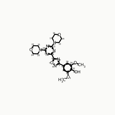 COc1cc(-c2noc(-c3nc(N4CCOCC4)nc(N4CCOCC4)n3)n2)cc(OC)c1O